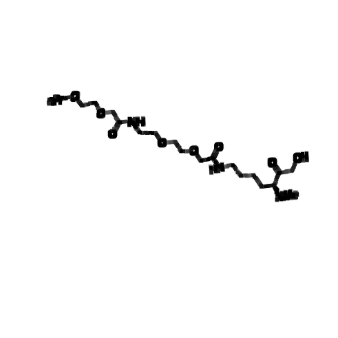 CCCOCCOCC(=O)NCCOCCOCC(=O)NCCCC[C@H](NC)C(=O)CO